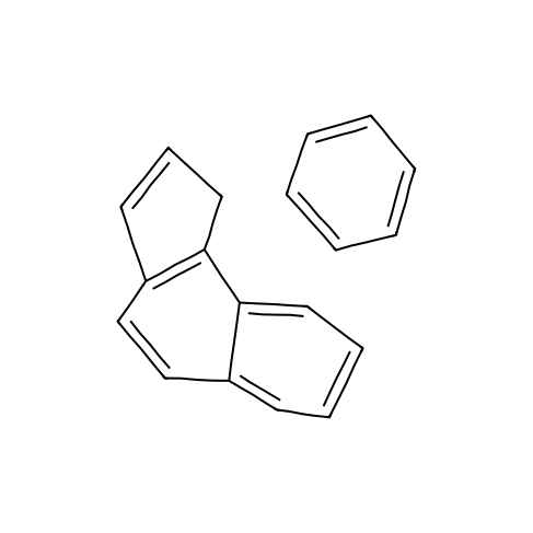 C1=Cc2ccc3ccccc3c2C1.c1ccccc1